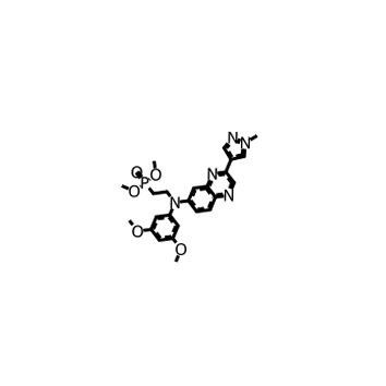 COc1cc(OC)cc(N(CCP(=O)(OC)OC)c2ccc3ncc(-c4cnn(C)c4)nc3c2)c1